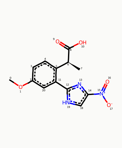 COc1ccc([C@H](C)C(=O)O)c(-c2nc([N+](=O)[O-])c[nH]2)c1